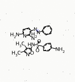 Cc1noc(NS(=O)(=O)c2ccc(N)cc2)c1C.Nc1ccc(/N=N/c2ccccc2)c(N)n1